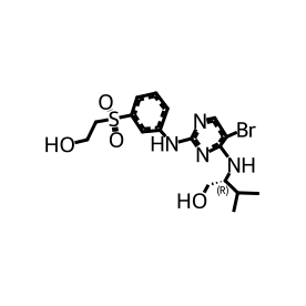 CC(C)[C@H](CO)Nc1nc(Nc2cccc(S(=O)(=O)CCO)c2)ncc1Br